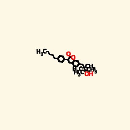 CCCCCc1ccc(-c2cc3ccc(CC(C)(C)C(C)(C)O)cc3oc2=O)cc1